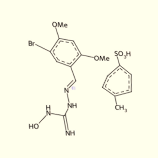 COc1cc(OC)c(/C=N/NC(=N)NO)cc1Br.Cc1ccc(S(=O)(=O)O)cc1